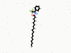 CCCCCCCCCCCCCCCCCC(=O)NC(c1ccccc1)C(F)(F)F